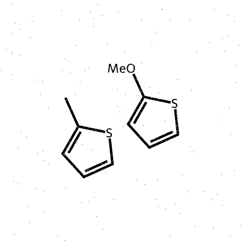 COc1cccs1.Cc1cccs1